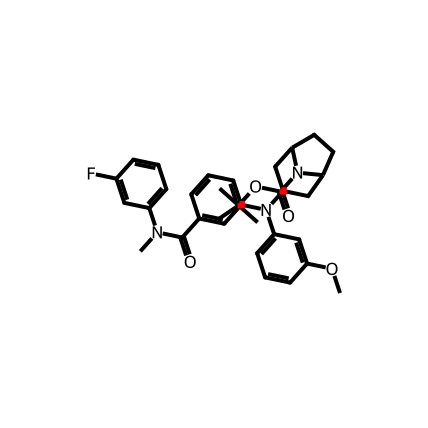 COc1cccc(N(c2cccc(C(=O)N(C)c3cccc(F)c3)c2)C2CC3CCC(C2)N3C(=O)OC(C)(C)C)c1